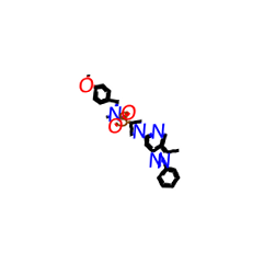 COc1ccc(CN(C)S(=O)(=O)C2CN(c3cc4nn(-c5ccccc5)c(C)c4cn3)C2)cc1